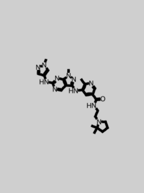 Cc1ncc(C(=O)NCCN2CCCC2(C)C)cc1Nc1nn(C)c2nc(Nc3cnn(C)c3)ncc12